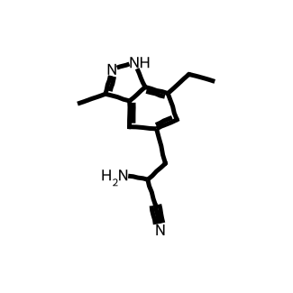 CCc1cc(CC(N)C#N)cc2c(C)n[nH]c12